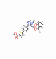 COC(=O)c1ccc(-c2ccc(-c3ncn(C)c3NC(=O)O[C@H](C)c3ccccc3)cc2)s1